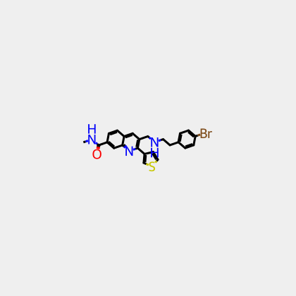 CNC(=O)c1ccc2cc(CNCCc3ccc(Br)cc3)c(-c3ccsc3)nc2c1